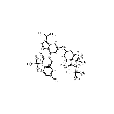 CC(C)c1cnn2c(N(Cc3cccc(N)c3)C(=O)OC(C)(C)C)cc(NC3CC(C)C(C(=O)OC(C)(C)C)(C(C)(C)C)N(C)C3)nc12